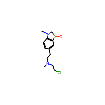 CN(CCCl)CCc1ccc2c(c1)[S+]([O-])CN2C